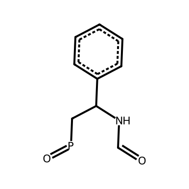 O=CNC(CP=O)c1ccccc1